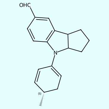 C[C@@H]1C=CC(N2c3ccc(C=O)cc3C3CCCC32)=CC1